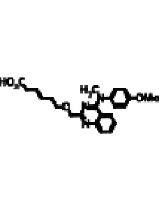 COc1ccc(N(C)c2nc(COCCCCCC(=O)O)nc3ccccc23)cc1